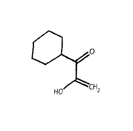 C=C(O)C(=O)C1CCCCC1